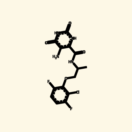 CC(COc1c(F)ccc(F)c1Cl)NC(=O)c1[nH]c(=O)[nH]c(=O)c1N